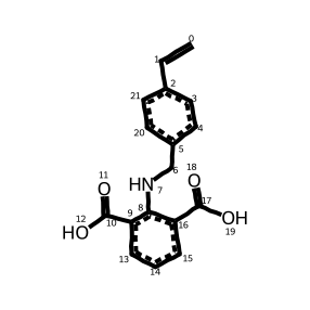 C=Cc1ccc(CNc2c(C(=O)O)cccc2C(=O)O)cc1